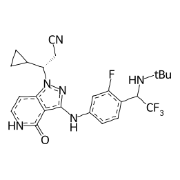 CC(C)(C)NC(c1ccc(Nc2nn([C@@H](CC#N)C3CC3)c3cc[nH]c(=O)c23)cc1F)C(F)(F)F